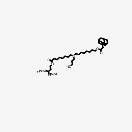 CCCCCC(CCCCC)CCOC(=O)CCCCCCCN(CCCO)CCCCCCCCOC(=O)CC12CC3CC(CC(C3)C1)C2